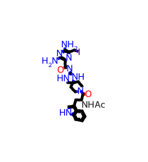 CC(=O)N[C@H](Cc1c[nH]c2ccccc12)C(=O)N1CCC2(CC1)CN/C(=N\C(=O)c1nc(CI)c(N)nc1N)N2